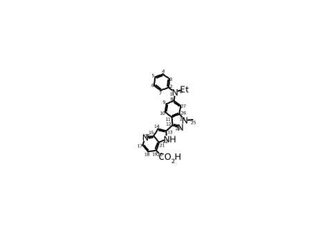 CCN(c1ccccc1)c1ccc2c(-c3cc4nccc(C(=O)O)c4[nH]3)nn(C)c2c1